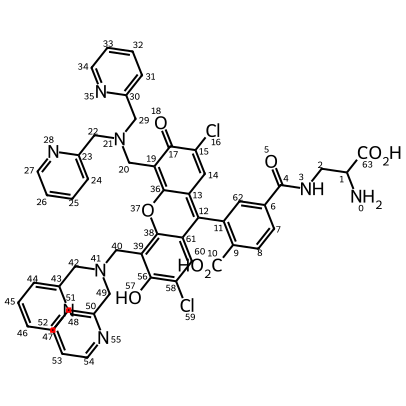 NC(CNC(=O)c1ccc(C(=O)O)c(-c2c3cc(Cl)c(=O)c(CN(Cc4ccccn4)Cc4ccccn4)c-3oc3c(CN(Cc4ccccn4)Cc4ccccn4)c(O)c(Cl)cc23)c1)C(=O)O